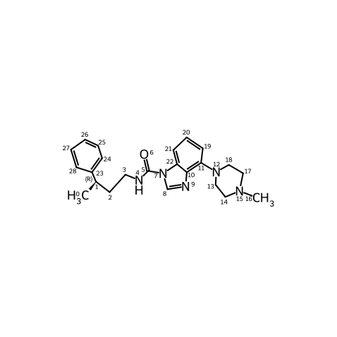 C[C@H](CCNC(=O)n1cnc2c(N3CCN(C)CC3)cccc21)c1ccccc1